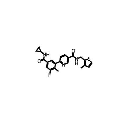 Cc1ccsc1CNC(=O)c1ccc(-c2cc(C(=O)NC3CC3)cc(F)c2C)nc1